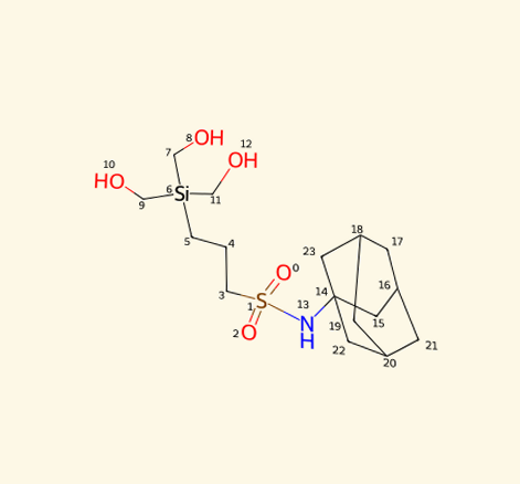 O=S(=O)(CCC[Si](CO)(CO)CO)NC12CC3CC(CC(C3)C1)C2